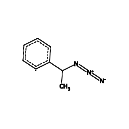 CC(N=[N+]=[N-])c1[c]cccc1